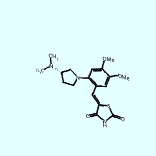 COc1cc(/C=C2\SC(=O)NC2=O)c(N2CC[C@H](N(C)C)C2)cc1OC